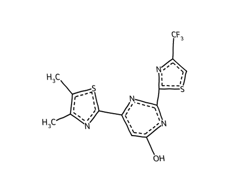 Cc1nc(-c2cc(O)nc(-c3nc(C(F)(F)F)cs3)n2)sc1C